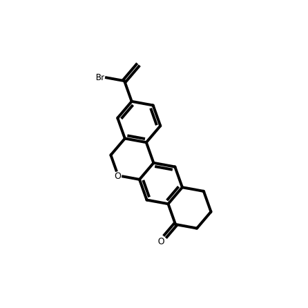 C=C(Br)c1ccc2c(c1)COc1cc3c(cc1-2)CCCC3=O